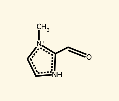 C[n+]1cc[nH]c1C=O